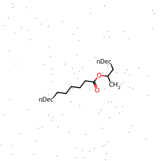 [CH2]C(CCCCCCCCCCC)OC(=O)CCCCCCCCCCCCCCC